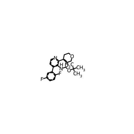 CC(C)(C)OC(=O)Nc1c(-c2cc(F)ccc2F)ccnc1C1=CCOCC1